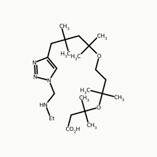 CCNCn1cc(CC(C)(C)CC(C)(C)OCCC(C)(C)OC(C)(C)CC(=O)O)nn1